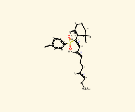 CC(=O)OC/C=C(\C)CC/C=C(C)/C=C(/C1=C(C)CCCC1(C)C)S(=O)(=O)c1ccc(C)cc1